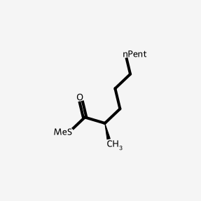 CCCCCCCC[C@@H](C)C(=O)SC